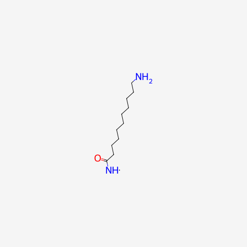 [NH]C(=O)CCCCCCCCCCN